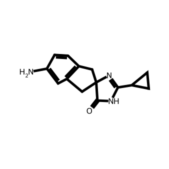 Nc1ccc2c(c1)CC1(C2)N=C(C2CC2)NC1=O